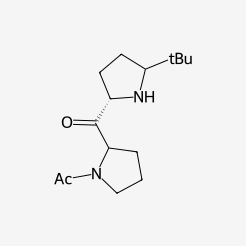 CC(=O)N1CCCC1C(=O)[C@@H]1CCC(C(C)(C)C)N1